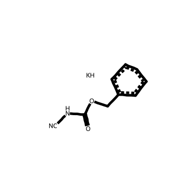 N#CNC(=O)OCc1ccccc1.[KH]